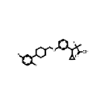 CC(F)(C(=O)O)C(c1cccc(OCC2CCC(c3cc(F)ccc3F)CC2)c1)C1CC1